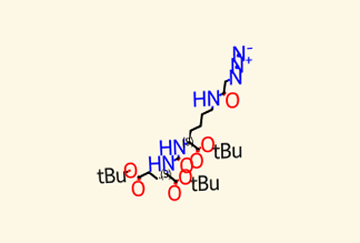 CC(C)(C)OC(=O)CC[C@H](NC(=O)N[C@@H](CCCCNC(=O)CN=[N+]=[N-])C(=O)OC(C)(C)C)C(=O)OC(C)(C)C